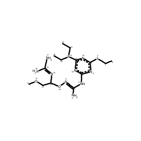 CCSc1nc(NC(N)=NOC(COC)N=C(N)N)nc(N(CC)CC)n1